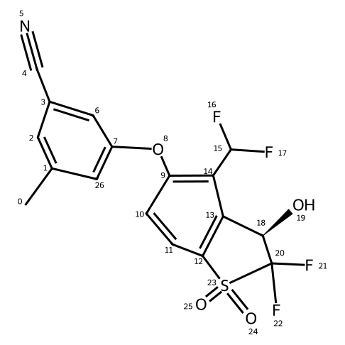 Cc1cc(C#N)cc(Oc2ccc3c(c2C(F)F)[C@@H](O)C(F)(F)S3(=O)=O)c1